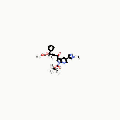 COCOC(C)(C#CC(=O)c1cn(C(=O)OC(C)(C)C)c2ncc(-c3cnn(C)c3)cc12)c1ccccc1